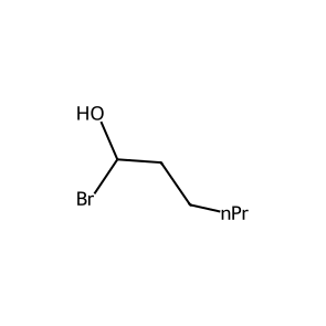 CCCCCC(O)Br